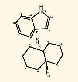 C1CC[C@H]2CCCC[C@@H]2C1.c1ccc2[nH]ccc2c1